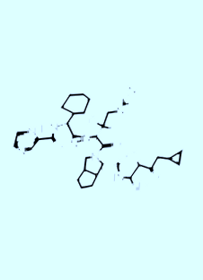 CCCC(NC(=O)[C@@H]1C2CCCC2CN1C(=O)[C@@H](N1N=C1[C@@H](NC(=O)c1cnccn1)C1CCCCC1)C(C)(C)CN=[N+]=[N-])C(O)C(=O)CC1CC1